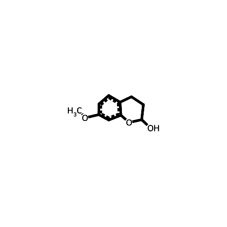 COc1ccc2c(c1)OC(O)CC2